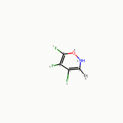 CCC1=C(F)C(F)=C(F)ON1